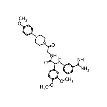 COc1ccc(N2CCN(C(=O)CNC(=O)C(Nc3cccc(C(=N)N)c3)c3ccc(OC)c(OC)c3)CC2)cc1